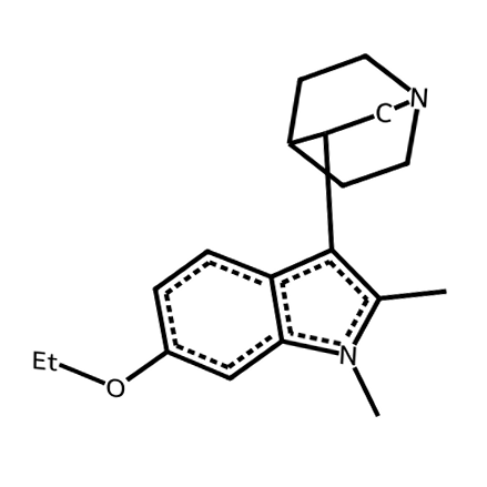 CCOc1ccc2c(C3CN4CCC3CC4)c(C)n(C)c2c1